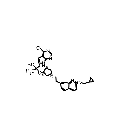 CC(C)(O)O[C@@H]1C[C@@H](CCc2ccc3ccc(NCC4CC4)nc3c2)C[C@H]1n1ccc2c(Cl)ncnc21